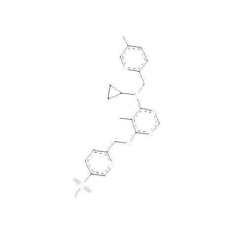 CS(=O)(=O)c1ccc(CNc2ncnc(N(Cc3ccc(C(F)(F)F)cn3)C3CC3)c2F)nc1